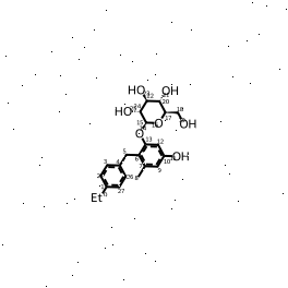 CCc1ccc(Cc2c(C)cc(O)cc2O[C@@H]2O[C@H](CO)[C@@H](O)[C@H](O)[C@H]2O)cc1